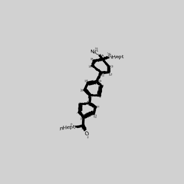 CCCCCCCC(=O)c1ccc(-c2ccc(C3CCC(C#N)(CCCCCCC)CC3)cc2)cc1